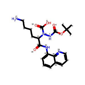 CC(C)(C)OC(=O)NN(C(=O)O)C(CCCCN)C(=O)Nc1cccc2cccnc12